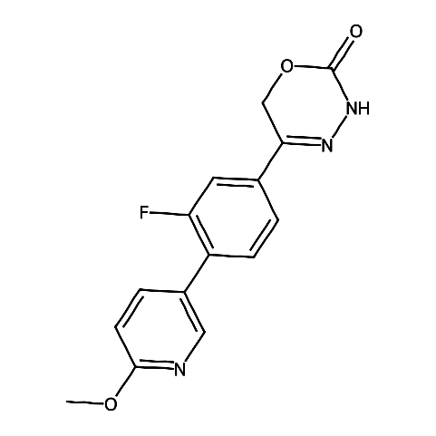 COc1ccc(-c2ccc(C3=NNC(=O)OC3)cc2F)cn1